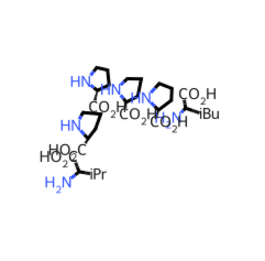 CC(C)C(N)C(=O)O.CCC(C)C(N)C(=O)O.O=C(O)[C@@H]1CCCN1.O=C(O)[C@@H]1CCCN1.O=C(O)[C@@H]1CCCN1.O=C(O)[C@@H]1CCCN1